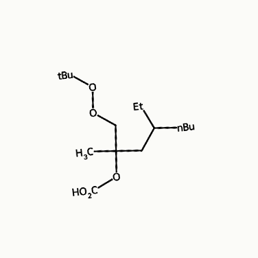 CCCCC(CC)CC(C)(COOC(C)(C)C)OC(=O)O